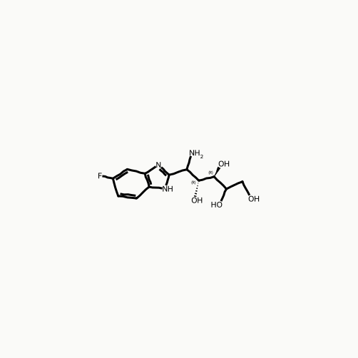 NC(c1nc2cc(F)ccc2[nH]1)[C@@H](O)[C@@H](O)C(O)CO